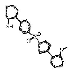 CSc1ccccc1-c1ccc(S(=O)(=O)c2ccc(-c3ccccc3S)cc2)cc1